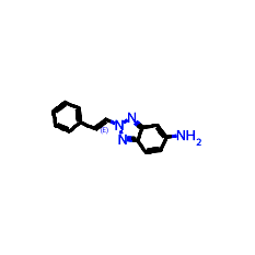 Nc1ccc2nn(/C=C/c3ccccc3)nc2c1